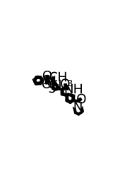 CN(c1nc(-c2cc3ccc(C(=O)N4CCCCC4)cc3[nH]c2=O)cs1)S(=O)(=O)c1ccccc1